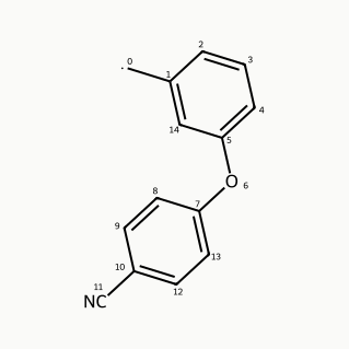 [CH2]c1cccc(Oc2ccc(C#N)cc2)c1